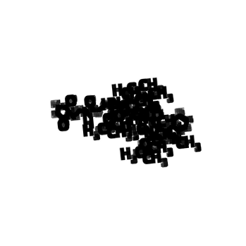 C/C(=C\C(C(C)C)N(C)C(=O)[C@@H](NC(=O)[C@@H](N(C)C(=O)OC(C)(C)C)C(C)(C)c1cn(C)c2ccccc12)C(C)(C)C)C(=O)N[C@H](CCC(=O)NCCN1C(=O)C=CC1=O)C(=O)OC(C)(C)C